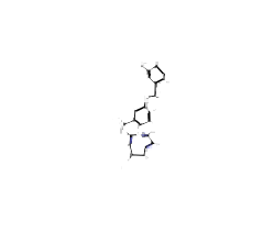 CC1\C=C(N[C@@H](C)c2cccc(NC(=O)c3cccc(Cl)c3)c2)/N=C(Cl)\C=C\C1